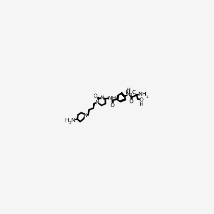 CC(N)(CO)C(=O)Nc1ccc(C(=O)NC2=NC(=O)N(CCCCN3CCC(N)CC3)CC2)cc1